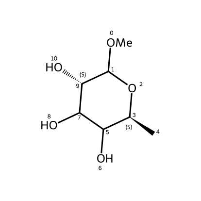 COC1O[C@@H](C)C(O)C(O)[C@@H]1O